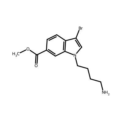 COC(=O)c1ccc2c(Br)cn(CCCCN)c2c1